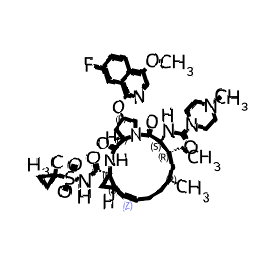 CC[C@@H]1C[C@H](C)CC/C=C\[C@@H]2C[C@@]2(C(=O)NS(=O)(=O)C2(C)CC2)NC(=O)[C@@H]2C[C@@H](Oc3ncc(OC)c4ccc(F)cc34)CN2C(=O)[C@H]1NC(=O)N1CCN(C)CC1